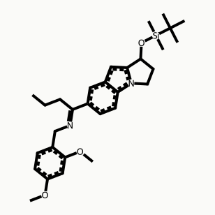 CCC/C(=N\Cc1ccc(OC)cc1OC)c1ccc2c(c1)cc1n2CCC1O[Si](C)(C)C(C)(C)C